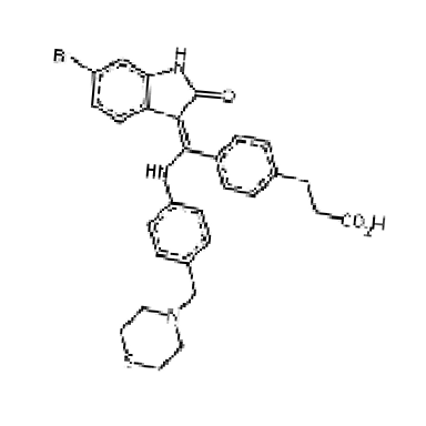 O=C(O)CCc1ccc(C(Nc2ccc(CN3CCSCC3)cc2)=C2C(=O)Nc3cc(Br)ccc32)cc1